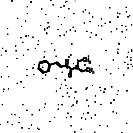 CCN(CC)C(=O)NC=Cc1ccccc1